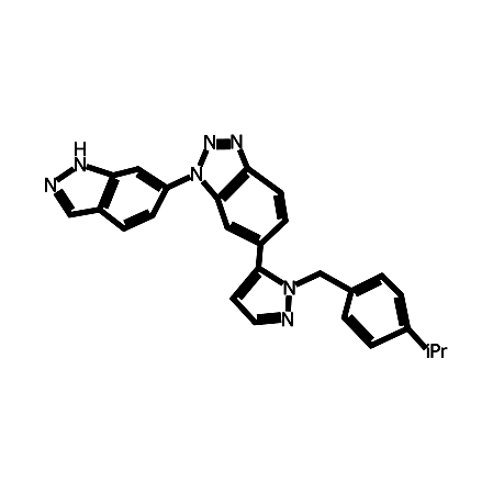 CC(C)c1ccc(Cn2nccc2-c2ccc3nnn(-c4ccc5cn[nH]c5c4)c3c2)cc1